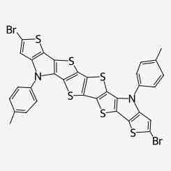 Cc1ccc(-n2c3cc(Br)sc3c3sc4c5sc6c(sc7c8sc(Br)cc8n(-c8ccc(C)cc8)c67)c5sc4c32)cc1